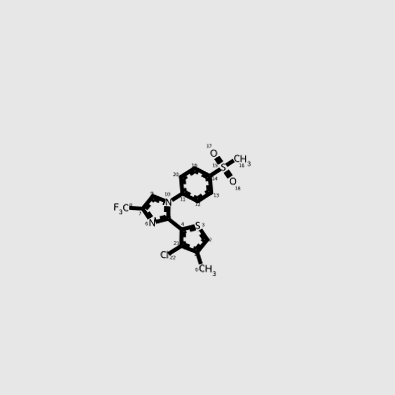 Cc1csc(-c2nc(C(F)(F)F)cn2-c2ccc(S(C)(=O)=O)cc2)c1Cl